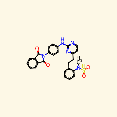 CN(c1ccccc1CCc1ccnc(Nc2ccc(N3C(=O)c4ccccc4C3=O)cc2)n1)[SH](=O)=O